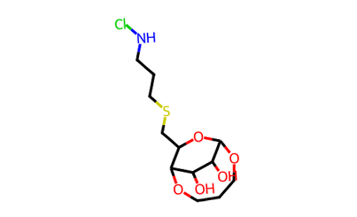 OC1C2OCCCOC(C(CSCCCNCl)O2)C1O